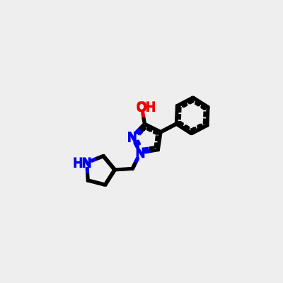 Oc1nn(CC2CCNC2)cc1-c1ccccc1